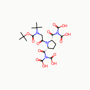 CC(C)(C)OC(=O)N(CC(=O)N1[C@@H](C(=O)N(C(=O)O)C(=O)O)CC[C@H]1C(=O)N(C(=O)O)C(=O)O)C(C)(C)C